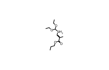 CCCOC(=O)C(C)=C[SiH2]C(OCC)OCC